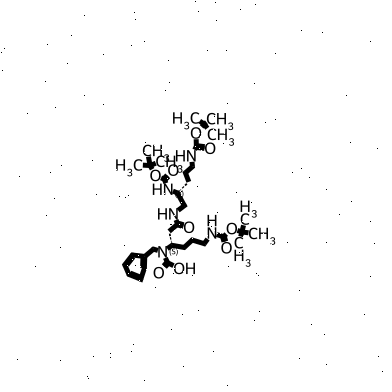 CC(C)(C)OC(=O)NCCC[C@H](CNC(=O)C[C@H](CCCNC(=O)OC(C)(C)C)N(Cc1ccccc1)C(=O)O)NC(=O)OC(C)(C)C